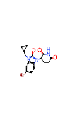 O=C1CCC(n2c(=O)n(CC3CC3)c3cc(Br)ccc32)C(=O)N1